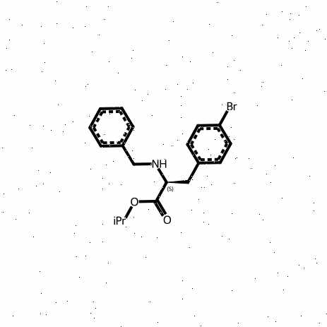 CC(C)OC(=O)[C@H](Cc1ccc(Br)cc1)NCc1ccccc1